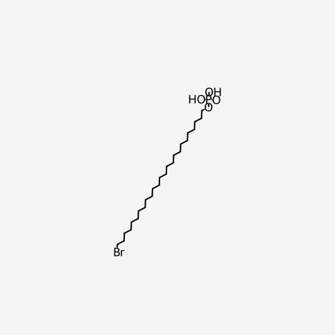 O=P(O)(O)OCCCCCCCCCCCCCCCCCCCCCCCCCBr